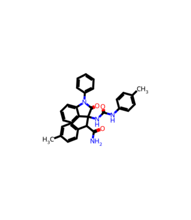 Cc1ccc(NC(=O)NC2(C(C(N)=O)c3ccc(C)cc3)C(=O)N(c3ccccc3)c3ccccc32)cc1